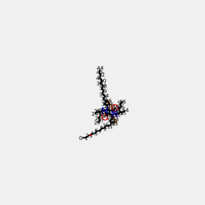 CCCCCCCCCCCCc1csc(C2=C3C(=O)N(CC(CC)CCCC)C(c4cc(CCCCCCCCCCCC)cs4)=C3C(=O)N2CC(CC)CCCC)c1